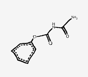 NC(=O)NC(=O)Oc1ccccc1